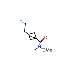 CON(C)C(=O)C12CC(CCF)(C1)C2